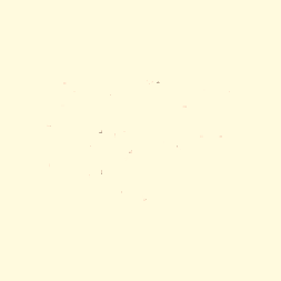 COCOc1c(Pc2c(C)cccc2/C=N/c2ccccc2)cc(C)cc1C(C)(C)C